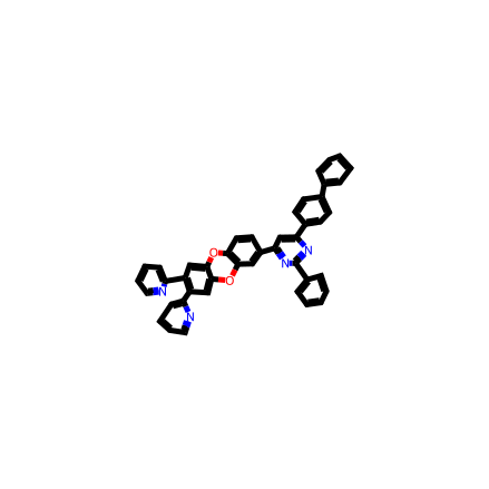 c1ccc(-c2ccc(-c3cc(-c4ccc5c(c4)Oc4cc(-c6ccccn6)c(-c6ccccn6)cc4O5)nc(-c4ccccc4)n3)cc2)cc1